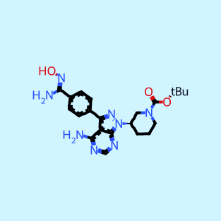 CC(C)(C)OC(=O)N1CCC[C@@H](n2nc(-c3ccc(/C(N)=N/O)cc3)c3c(N)ncnc32)C1